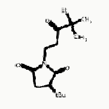 CCC(C)(C)C(=O)CCN1C(=O)CC(C(C)(C)C)C1=O